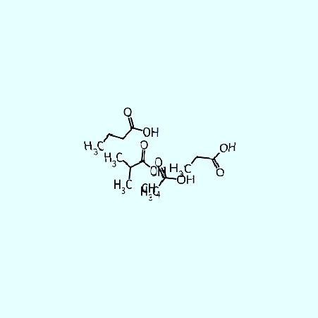 C.CC(=O)O.CC(C)C(=O)O.CCC(=O)O.CCCC(=O)O